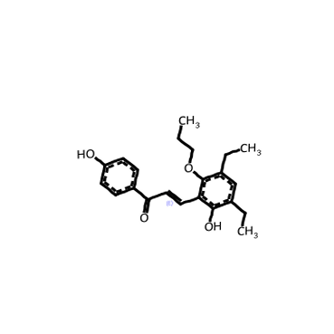 CCCOc1c(CC)cc(CC)c(O)c1/C=C/C(=O)c1ccc(O)cc1